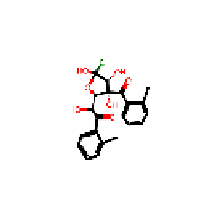 Cc1ccccc1C(=O)C(O)[C@H]1OC(O)(Cl)[C@H](O)[C@@]1(O)C(=O)c1ccccc1C